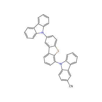 N#Cc1ccc2c(c1)c1ccccc1n2-c1cccc2c1sc1ccc(-n3c4ccccc4c4ccccc43)cc12